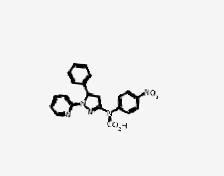 O=C(O)N(C1=NN(c2ccccn2)C(c2ccccc2)C1)c1ccc([N+](=O)[O-])cc1